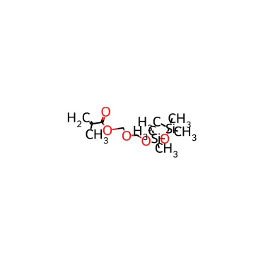 C=C(C)C(=O)OCOCO[Si](C)(C)O[Si](C)(C)C